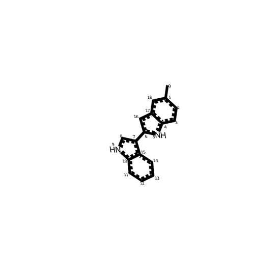 Cc1ccc2[nH]c(-c3c[nH]c4ccccc34)cc2c1